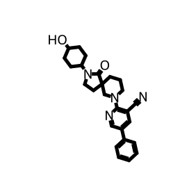 N#Cc1cc(-c2ccccc2)cnc1N1CCCC2(CCN(C3CCC(O)CC3)C2=O)C1